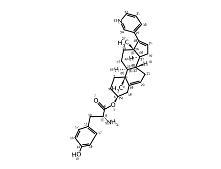 C[C@]12CC[C@H](OC(=O)[C@H](N)Cc3ccc(O)cc3)CC1=CC[C@@H]1[C@@H]2CC[C@]2(C)C(c3cccnc3)=CC[C@@H]12